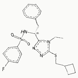 CCn1c(SCC2CCC2)nnc1[C@@H](Cc1ccccc1)NS(=O)(=O)c1ccc(F)cc1